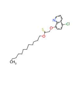 CCCCCCCCCCCCOC(=S)COc1ccc(Cl)c2cccnc12